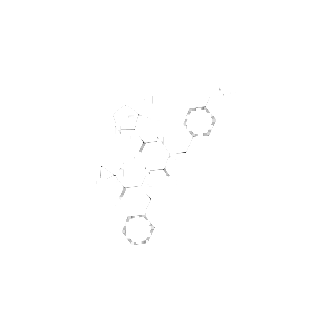 COc1ccc(C[C@H](NC(=O)[C@H]2NCC[C@@]2(C)O)C(=O)N[C@@H](Cc2ccccc2)C(=O)[C@@]2(C)CO2)cc1